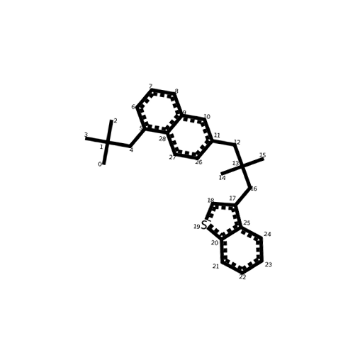 CC(C)(C)Cc1cccc2cc(CC(C)(C)Cc3csc4ccccc34)ccc12